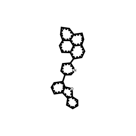 c1cc2ccc3ccc(-c4ccc(-c5cccc6c5oc5ccccc56)cn4)c4ccc(c1)c2c34